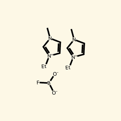 CC[n+]1ccn(C)c1.CC[n+]1ccn(C)c1.[O-]B([O-])F